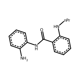 CCCNc1ccccc1C(=O)Nc1ccccc1N